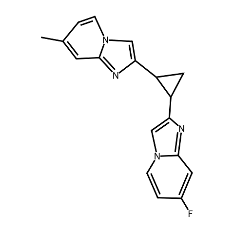 Cc1ccn2cc(C3CC3c3cn4ccc(F)cc4n3)nc2c1